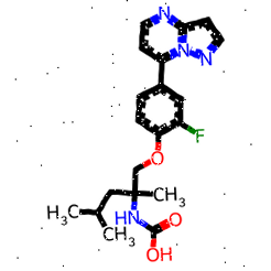 CC(C)CC(C)(COc1ccc(-c2ccnc3ccnn23)cc1F)NC(=O)O